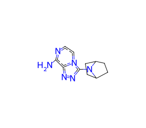 Nc1nccn2c(N3C4CCC3CC4)nnc12